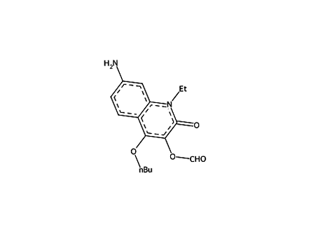 CCCCOc1c(OC=O)c(=O)n(CC)c2cc(N)ccc12